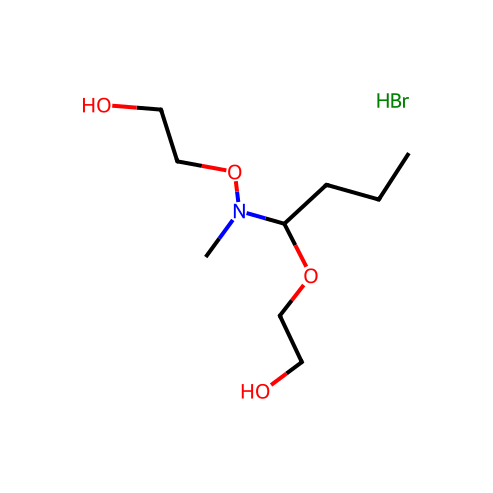 Br.CCCC(OCCO)N(C)OCCO